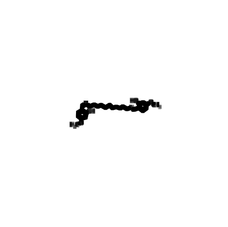 COc1ccc(/C=N\CCCCCCCCCCC/N=C/c2ccc(OC)cc2O)c(O)c1